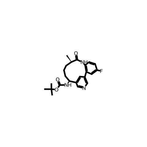 C[C@@H]1CCC[C@H](NC(=O)OC(C)(C)C)c2cncc(c2)-c2cc(F)ccc2NC1=O